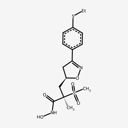 CCSc1ccc(C2=NO[C@@H](C[C@](C)(C(=O)NO)S(C)(=O)=O)C2)cc1